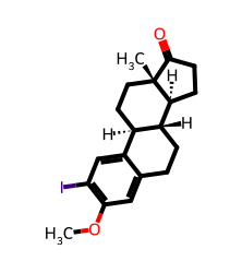 COc1cc2c(cc1I)[C@H]1CC[C@]3(C)C(=O)CC[C@H]3[C@@H]1CC2